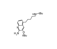 CCCCOc1cc2c(CCCCCNC(C)(C)C)cccc2nc1N